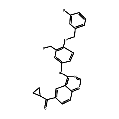 O=C(c1ccc2ncnc(Nc3ccc(OCc4cccc(F)c4)c(CI)c3)c2c1)C1CC1